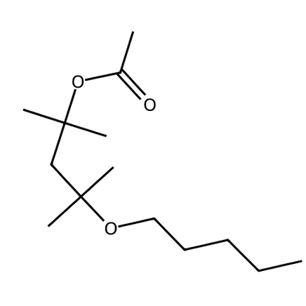 CCCCCOC(C)(C)CC(C)(C)OC(C)=O